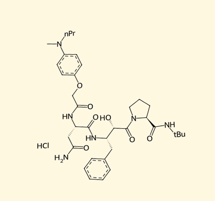 CCCN(C)c1ccc(OCC(=O)N[C@@H](CC(N)=O)C(=O)N[C@@H](Cc2ccccc2)[C@H](O)C(=O)N2CCC[C@H]2C(=O)NC(C)(C)C)cc1.Cl